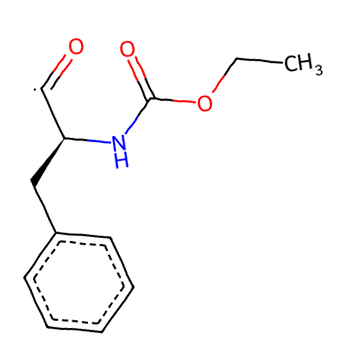 CCOC(=O)N[C@H]([C]=O)Cc1ccccc1